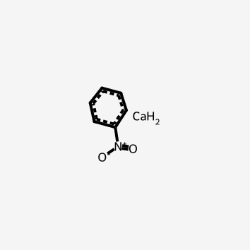 O=[N+]([O-])c1ccccc1.[CaH2]